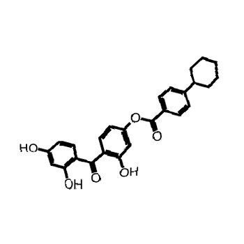 O=C(Oc1ccc(C(=O)c2ccc(O)cc2O)c(O)c1)c1ccc(C2CCCCC2)cc1